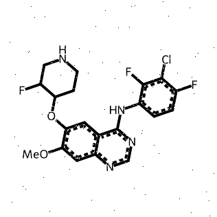 COc1cc2ncnc(Nc3ccc(F)c(Cl)c3F)c2cc1OC1CCNCC1F